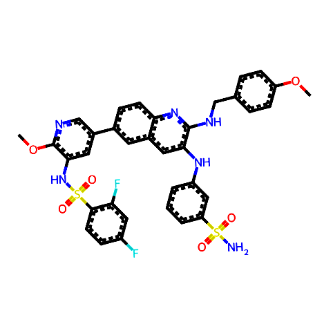 COc1ccc(CNc2nc3ccc(-c4cnc(OC)c(NS(=O)(=O)c5ccc(F)cc5F)c4)cc3cc2Nc2cccc(S(N)(=O)=O)c2)cc1